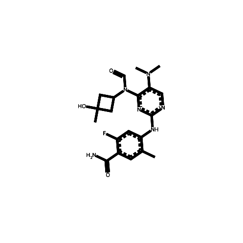 Cc1cc(C(N)=O)c(F)cc1Nc1ncc(N(C)C)c(N(C=O)C2CC(C)(O)C2)n1